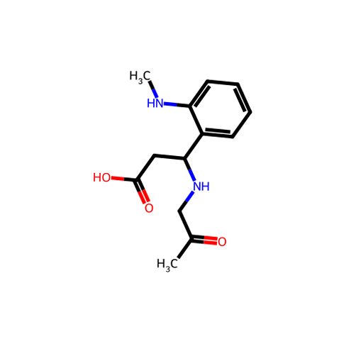 CNc1ccccc1C(CC(=O)O)NCC(C)=O